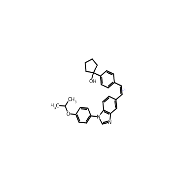 CC(C)Oc1ccc(-n2cnc3cc(/C=C\c4ccc(C5(O)CCCC5)cc4)ccc32)cc1